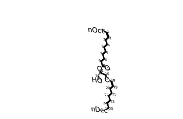 CCCCCCCC/C=C\CCCCCCCC(=O)O[C@@H](CO)CO/C=C\CCCCCCCCCCCCCCCC